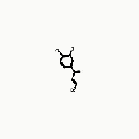 CCC=CC(=O)c1ccc(Cl)c(Cl)c1